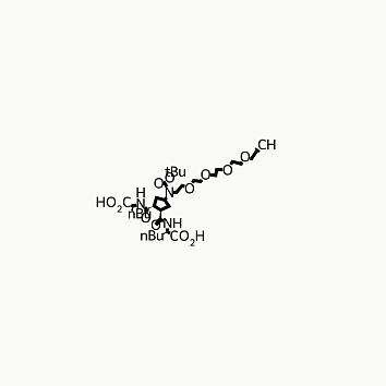 C#CCOCCOCCOCCOCCN(C(=O)OC(C)(C)C)C1C[C@@H](C(=O)N[C@@H](CCCC)C(=O)O)[C@H](C(=O)N[C@@H](CCCC)C(=O)O)C1